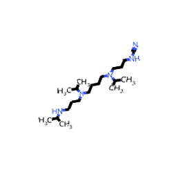 CC(C)NCCCN(CCCCN(CCCNC#N)C(C)C)C(C)C